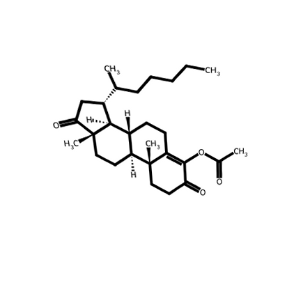 CCCCCC(C)[C@H]1CC(=O)[C@@]2(C)CC[C@H]3[C@@H](CCC4=C(OC(C)=O)C(=O)CC[C@@]43C)[C@H]12